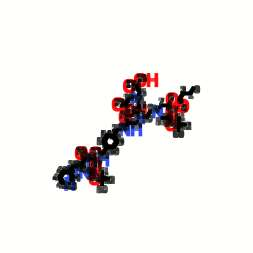 CCCC(=O)OCCN(CCN(CCN(CC(=O)O)CC(=O)O)CC(=O)NCc1ccc(CONC(=O)[C@@H](Cc2cccnc2)NC(=O)OC(C)(C)C)cc1)CC(=O)OC(C)(C)C